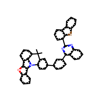 CC1(C)c2cc(-c3cccc(-c4nc(-c5cccc6c5sc5ccccc56)nc5ccccc45)c3)ccc2-n2c3c1cccc3c1oc3ccccc3c12